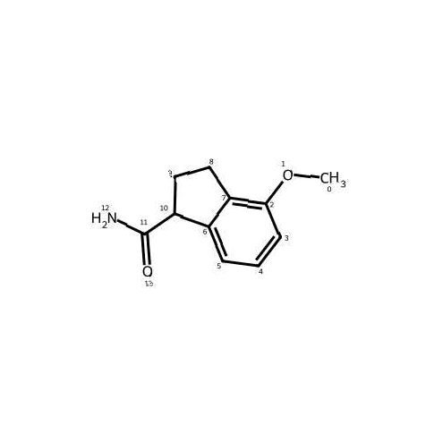 COc1cccc2c1C[CH]C2C(N)=O